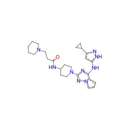 O=C(CCN1CCCCC1)NC1CCN(c2nc(Nc3cc(C4CC4)n[nH]3)c3cccn3n2)CC1